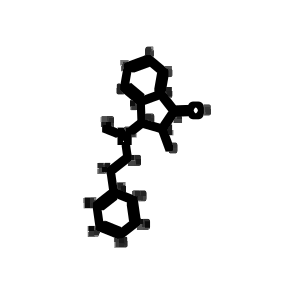 CC1C(=O)c2ccccc2C1N(C)CCc1ccccc1